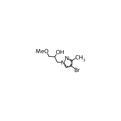 COCC(O)Cn1cc(Br)c(C)n1